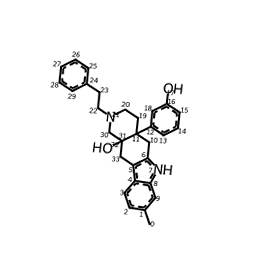 Cc1ccc2c3c([nH]c2c1)CC1(c2cccc(O)c2)CCN(CCc2ccccc2)CC1(O)C3